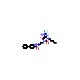 CCCCCn1c(=O)n(CCCNC(=O)c2ccc(-c3ccccc3)cc2)c(=O)c2[nH]c(Cl)nc21